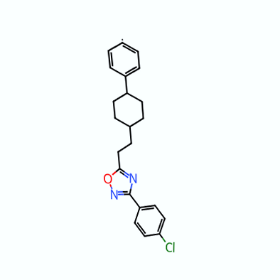 Clc1ccc(-c2noc(CCC3CCC(c4cc[c]cc4)CC3)n2)cc1